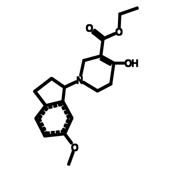 CCOC(=O)C1=C(O)CCN(C2CCc3ccc(OC)cc32)C1